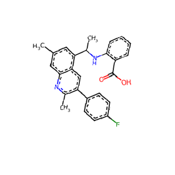 Cc1cc(C(C)Nc2ccccc2C(=O)O)c2cc(-c3ccc(F)cc3)c(C)nc2c1